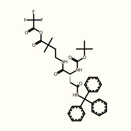 CC(C)(C)OC(=O)N[C@H](CC(=O)NC(c1ccccc1)(c1ccccc1)c1ccccc1)C(=O)NCCC(C)(C)C(=O)OC(=O)C(F)(F)F